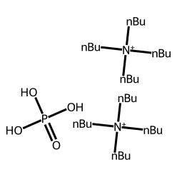 CCCC[N+](CCCC)(CCCC)CCCC.CCCC[N+](CCCC)(CCCC)CCCC.O=P(O)(O)O